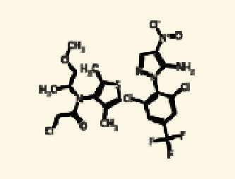 COCC(C)N(C(=O)CCl)c1c(C)csc1C.Nc1c([N+](=O)[O-])cnn1-c1c(Cl)cc(C(F)(F)F)cc1Cl